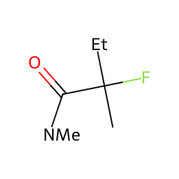 CCC(C)(F)C(=O)NC